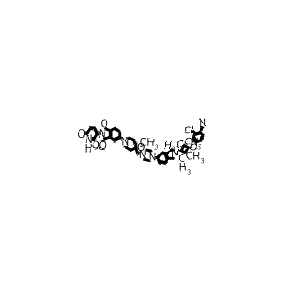 COC1(CN2CCN(c3ccc4c(c3)CN([C@H]3C(C)(C)[C@H](Oc5ccc(C#N)c(Cl)c5)C3(C)C)C4)CC2)CCN(c2ccc3c(c2)C(=O)N(C2CCC(=O)NC2=O)C3=O)CC1